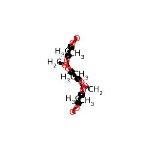 C=CCOC(COc1ccc(C(C)(C)c2ccc(OCC(COc3ccc(C(C)(C)c4ccc(OCC5CO5)cc4)cc3)OCC=C)cc2)cc1)COc1ccc(C(C)(C)c2ccc(OCC3CO3)cc2)cc1